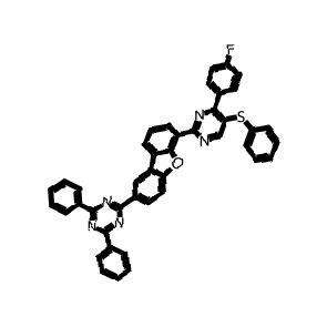 Fc1ccc(-c2nc(-c3cccc4c3oc3ccc(-c5nc(-c6ccccc6)nc(-c6ccccc6)n5)cc34)ncc2Sc2ccccc2)cc1